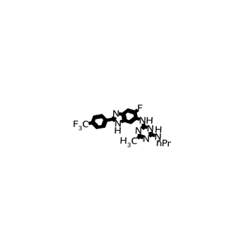 CCCNc1nc(C)nc(Nc2cc3[nH]c(-c4ccc(C(F)(F)F)cc4)nc3cc2F)n1